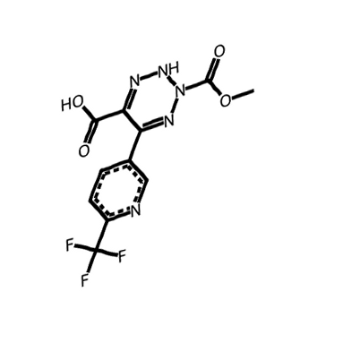 COC(=O)N1N=C(c2ccc(C(F)(F)F)nc2)C(C(=O)O)=NN1